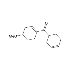 COC1CC=C(C(=O)C2CC=CCC2)CC1